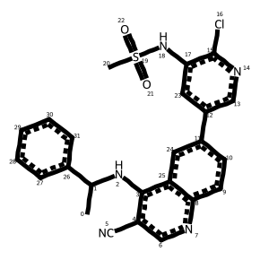 CC(Nc1c(C#N)cnc2ccc(-c3cnc(Cl)c(NS(C)(=O)=O)c3)cc12)c1ccccc1